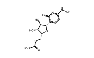 CCCCCCCCC(=O)OC[C@H]1O[C@@H](n2ccc(NO)nc2=O)[C@H](O)[C@@H]1O